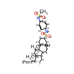 CCC[C@@H](C)[C@H]1CCC2C3CC[C@@H]4CC(S(=O)(=O)N=C5C=CC(=NS(C)(=O)=O)C=C5)CC[C@]4(C)C3CC[C@@]21C